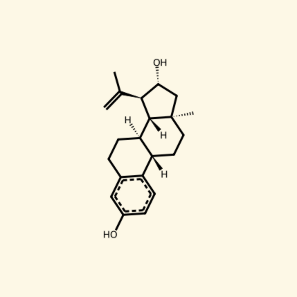 C=C(C)[C@@H]1[C@H]2[C@@H]3CCc4cc(O)ccc4[C@H]3CC[C@]2(C)C[C@H]1O